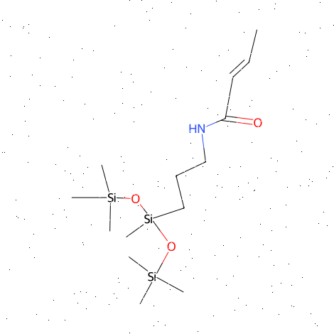 CC=CC(=O)NCCC[Si](C)(O[Si](C)(C)C)O[Si](C)(C)C